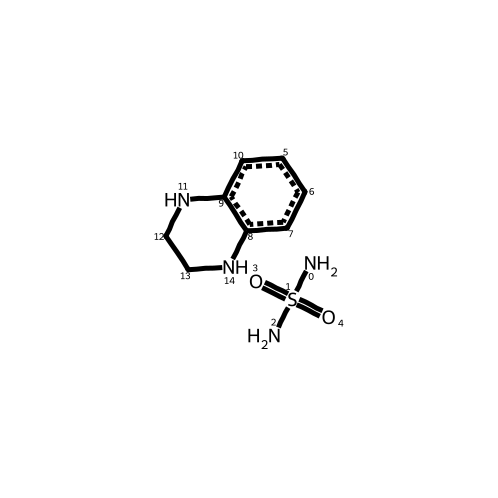 NS(N)(=O)=O.c1ccc2c(c1)NCCN2